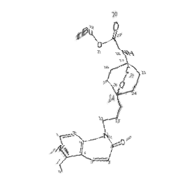 Cc1nccc2c1ccc(=O)n2CCC12CCC(NC(=O)OC(C)(C)C)(CC1)CO2